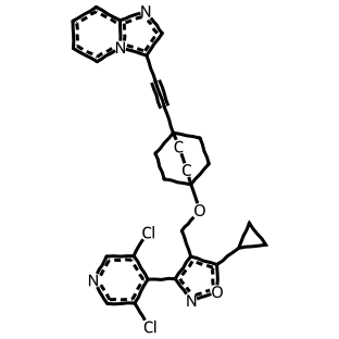 Clc1cncc(Cl)c1-c1noc(C2CC2)c1COC12CCC(C#Cc3cnc4ccccn34)(CC1)CC2